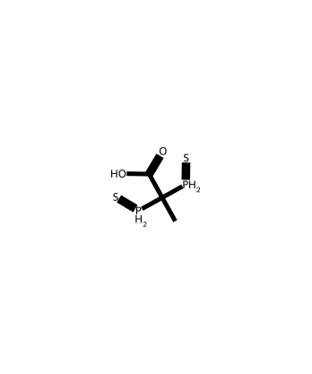 CC([PH2]=S)([PH2]=S)C(=O)O